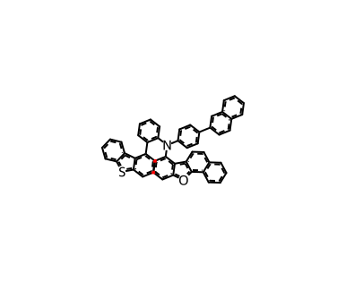 c1ccc(N(c2ccc(-c3ccc4ccccc4c3)cc2)c2cccc3oc4c5ccccc5ccc4c23)c(-c2cccc3sc4ccccc4c23)c1